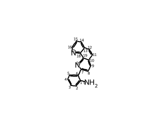 Nc1ccccc1-c1ccc2ccc3cccnc3c2n1